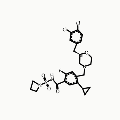 O=C(NS(=O)(=O)N1CCC1)c1cc(C2CC2)c(CN2CCO[C@H](Cc3ccc(Cl)c(Cl)c3)C2)cc1F